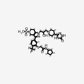 CS(=O)(=O)N1CCc2c(c(-c3ccc(C(F)(F)F)c(SCC(=O)NC4CCCC4)c3)nn2CC(O)CN2CCC(c3n[nH]c(=O)[nH]3)CC2)C1